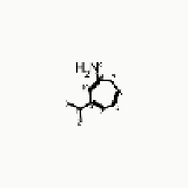 CC(C)C1=CC=CCC(N)=C1